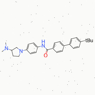 CN(C)C1CCN(c2ccc(NC(=O)c3ccc(-c4ccc(C(C)(C)C)cc4)cc3)cc2)C1